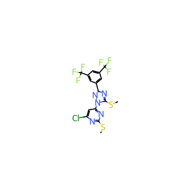 CSc1nc(Cl)cc(-n2nc(-c3cc(C(F)(F)F)cc(C(F)(F)F)c3)nc2SC)n1